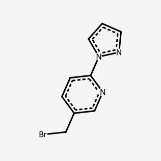 BrCc1ccc(-n2cccn2)nc1